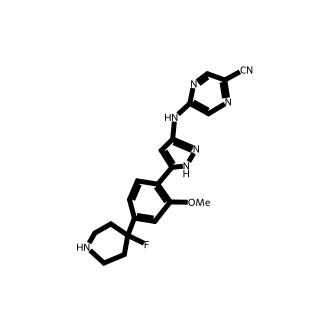 COc1cc(C2(F)CCNCC2)ccc1-c1cc(Nc2cnc(C#N)cn2)n[nH]1